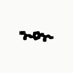 CCCC(=O)Oc1ccc(C=CC(=O)O)cc1